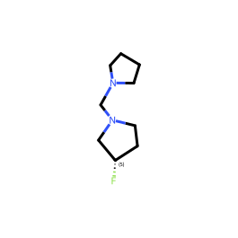 F[C@H]1CCN(CN2CCCC2)C1